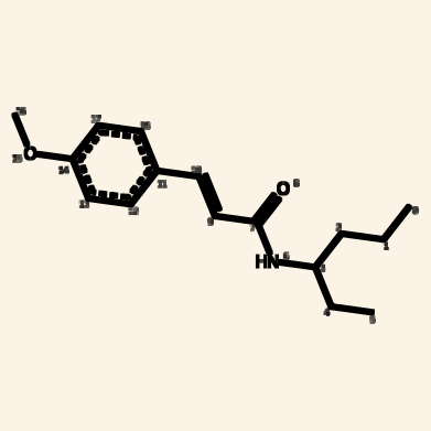 CCCC(CC)NC(=O)/C=C/c1ccc(OC)cc1